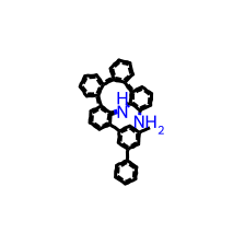 Cc1cc(-c2ccccc2)cc(-c2cccc3c2[nH]c2c(N)cccc2c2ccccc2c2ccccc32)c1